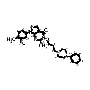 Cc1ccc(-n2ncc3c(=O)n(OCCCN4CCN(c5ccccc5)CC4)c(C)nc32)cc1C